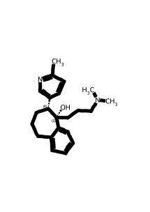 Cc1ccc([C@H]2CCCc3ccccc3[C@]2(O)CCCN(C)C)cn1